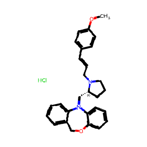 COc1ccc(C=CCN2CCC[C@@H]2CN2c3ccccc3COc3ccccc32)cc1.Cl